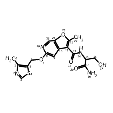 Cc1ncsc1COc1cc2c(C(=O)NC(CO)C(N)=O)c(C)oc2cn1